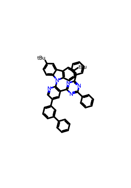 CC(C)(C)c1ccc2c(c1)c1cc(C(C)(C)C)ccc1n2-c1ncc(-c2cccc(-c3ccccc3)c2)cc1-c1nc(-c2ccccc2)nc(-c2ccccc2)n1